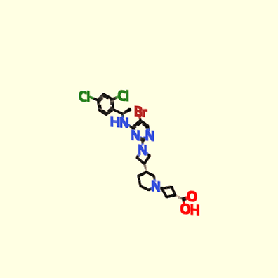 C[C@@H](Nc1nc(N2CC([C@H]3CCCN([C@H]4C[C@@H](C(=O)O)C4)C3)C2)ncc1Br)c1ccc(Cl)cc1Cl